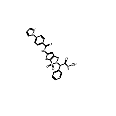 O=C(Nc1cc2c(s1)S(=O)(=O)N(C(C(=O)NO)c1ccccc1)C2)c1ccc(-n2cccn2)cc1